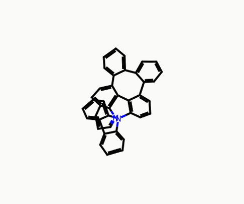 c1ccc2c(c1)-c1ccccc1-c1ccc3cccnc3c1-c1c-2cccc1-n1c2ccccc2c2ccccc21